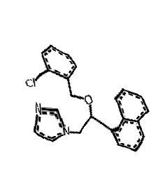 Clc1ccccc1COC(Cn1ccnc1)c1cccc2ccccc12